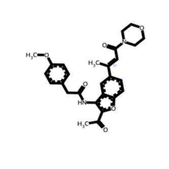 COc1ccc(CC(=O)Nc2c(C(C)=O)oc3ccc(/C(C)=C/C(=O)N4CCOCC4)cc23)cc1